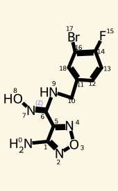 Nc1nonc1/C(=N/O)NCc1ccc(F)c(Br)c1